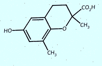 Cc1cc(O)cc2c1OC(C)(C(=O)O)CC2